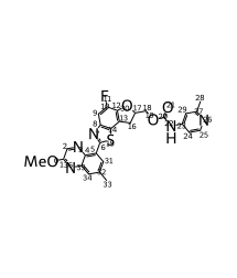 COc1cnc2c(-c3nc4cc(F)c5c(c4s3)CC(COC(=O)Nc3ccnc(C)c3)O5)cc(C)cc2n1